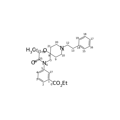 CCOC(=O)c1cccc(N2CC3(CCN(CCc4ccccc4)CC3)OC(C)C2=O)c1